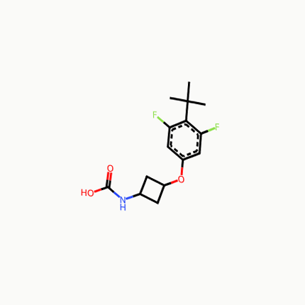 CC(C)(C)c1c(F)cc(OC2CC(NC(=O)O)C2)cc1F